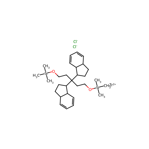 C[Si](C)(C)OCCC(CCO[Si](C)(C)C)(C1CCC2C=CC=CC21)C1CCC2C=CC=CC21.[Cl-].[Cl-].[Zr+2]